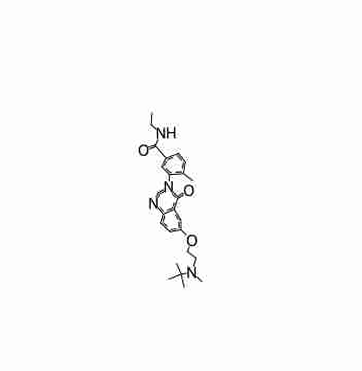 CCNC(=O)c1ccc(C)c(-n2cnc3ccc(OCCN(C)C(C)(C)C)cc3c2=O)c1